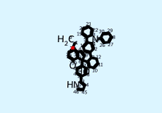 C=C/C=C\C=C/C1(C2=C(O)C=CCC2c2ccc3c4ccccc4n(-c4ccccc4)c3c2)c2ccccc2Oc2cc(-c3ccc[nH]3)ccc21